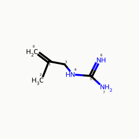 C=C(C)CNC(=N)N